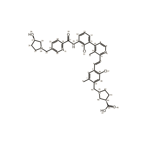 Cc1cc(/C=C/c2nccc(-c3cccc(NC(=O)c4ccc(CN5CC[C@@H](O)C5)cn4)c3Cl)c2C)c(Cl)cc1CN1CC[C@@H](C(=O)O)C1